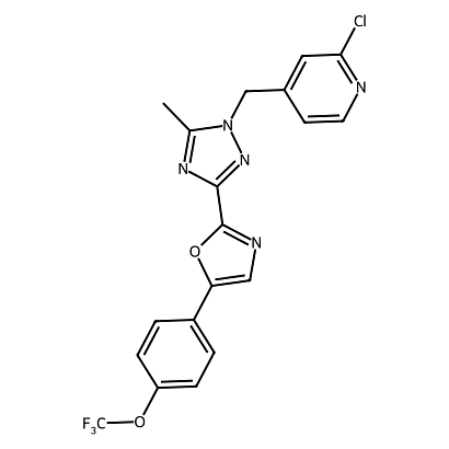 Cc1nc(-c2ncc(-c3ccc(OC(F)(F)F)cc3)o2)nn1Cc1ccnc(Cl)c1